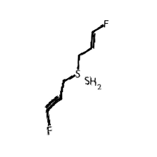 FC=CCSCC=CF.S